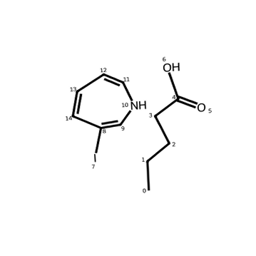 CCCCC(=O)O.IC1=CNC=CC=C1